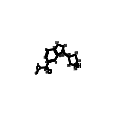 COC(=O)c1ccc2c(c1)N(C1CCNC1)CC2